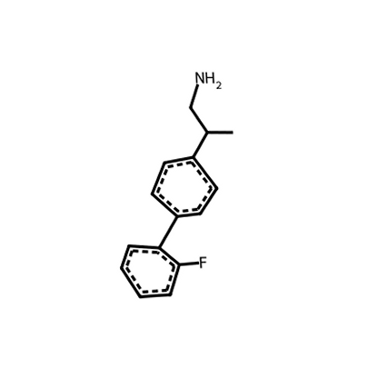 CC(CN)c1ccc(-c2ccccc2F)cc1